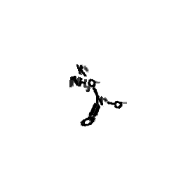 N.O=[N+]([O-])[O-].[K+]